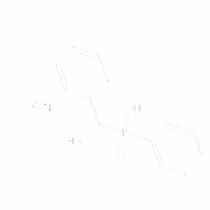 CC(c1ccccc1[N+](=O)[O-])P(=O)(O)c1ccccc1